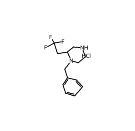 Cl.FC(F)(F)CC1CNCCN1Cc1ccccc1